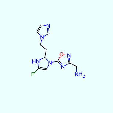 NCc1noc(N2C=C(F)NC2CCn2ccnc2)n1